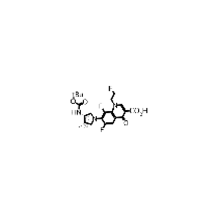 C[C@H]1CN(c2c(F)cc3c(=O)c(C(=O)O)cn(CCF)c3c2F)C[C@H]1NC(=O)OC(C)(C)C